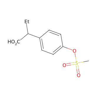 CCC(C(=O)O)c1ccc(OS(C)(=O)=O)cc1